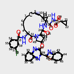 O=C(N[C@H]1CCCCC/C=C\[C@@H]2C[C@@]2(C(=O)NS(=O)(=O)C2CC2)NC(=O)[C@@H]2C[C@@H](Oc3nc4ccccc4nc3-c3nc4ccccc4s3)CN2C1=O)c1cccc(F)c1